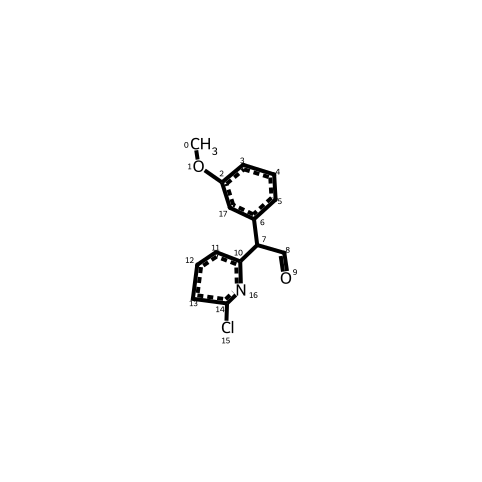 COc1cccc(C(C=O)c2cccc(Cl)n2)c1